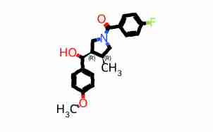 COc1ccc(C(O)[C@H]2CN(C(=O)c3ccc(F)cc3)C[C@@H]2C)cc1